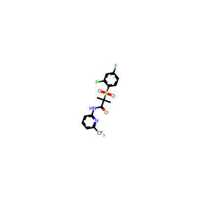 CC(C)(C(=O)Nc1cccc(C(F)(F)F)n1)S(=O)(=O)c1ccc(F)cc1F